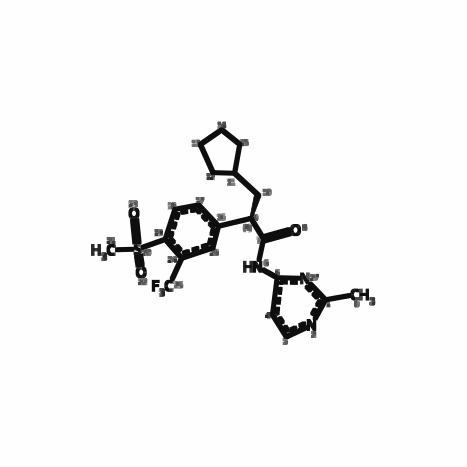 Cc1nccc(NC(=O)[C@H](CC2CCCC2)c2ccc(S(C)(=O)=O)c(C(F)(F)F)c2)n1